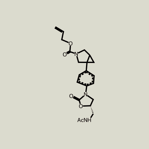 C=CCOC(=O)N1CC2CC2(c2ccc(N3C[C@H](CNC(C)=O)OC3=O)cc2)C1